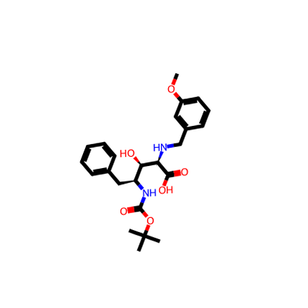 COc1cccc(CN[C@@H](C(=O)O)[C@H](O)[C@H](Cc2ccccc2)NC(=O)OC(C)(C)C)c1